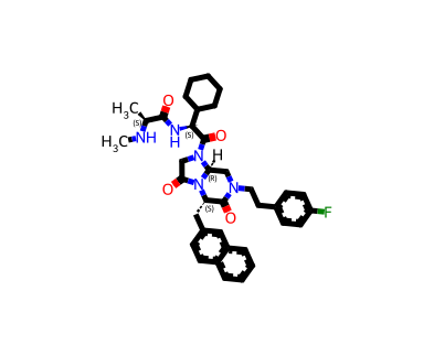 CN[C@@H](C)C(=O)N[C@H](C(=O)N1CC(=O)N2[C@@H]1CN(CCc1ccc(F)cc1)C(=O)[C@@H]2Cc1ccc2ccccc2c1)C1CCCCC1